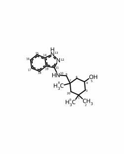 CC1(C)CC(O)CC(C)(CNc2n[nH]c3ccccc23)C1